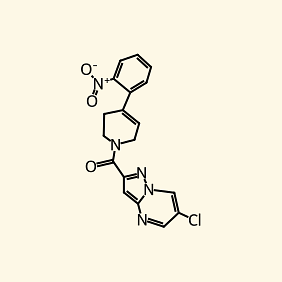 O=C(c1cc2ncc(Cl)cn2n1)N1CC=C(c2ccccc2[N+](=O)[O-])CC1